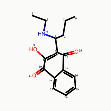 CCCC(NCC)C1=C(O)C(=O)c2ccccc2C1=O